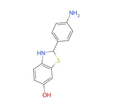 Nc1ccc(C2Nc3ccc(O)cc3S2)cc1